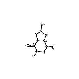 CC(C)C1CC2C(=O)N(C)CC(=O)N2C1